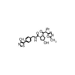 Cc1nnc([C@H](C(=O)N2C[C@H](O)C[C@H]2C(=O)NCc2ccc(-c3scnc3C)cc2)C(C)C)o1